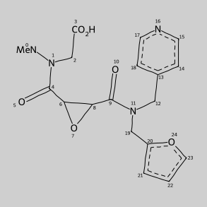 CNN(CC(=O)O)C(=O)C1OC1C(=O)N(Cc1ccncc1)Cc1ccco1